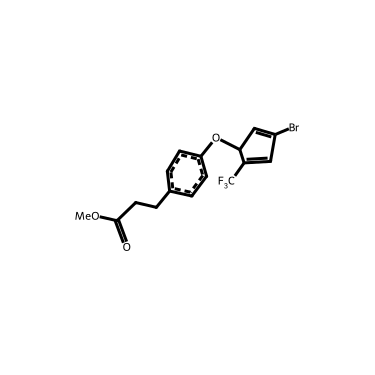 COC(=O)CCc1ccc(OC2C=C(Br)C=C2C(F)(F)F)cc1